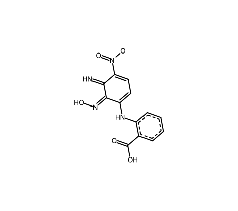 N=C1C([N+](=O)[O-])=CC=C(Nc2ccccc2C(=O)O)/C1=N/O